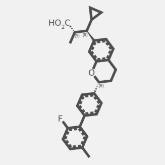 Cc1ccc(F)c(-c2ccc([C@H]3CCc4ccc([C@H](C5CC5)[C@H](C)C(=O)O)cc4O3)cc2)c1